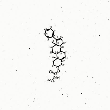 CC(C)NC(=O)OC1CCC2(C)C(=CCC3C2CCC2(C)C(c4cccnc4)=CCC32)C1